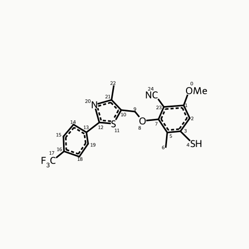 COc1cc(S)c(C)c(OCc2sc(-c3ccc(C(F)(F)F)cc3)nc2C)c1C#N